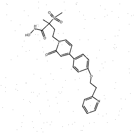 CC(CCn1ccc(-c2ccc(OCCc3ccccn3)cc2)cc1=O)(C(=O)NO)S(C)(=O)=O